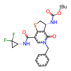 CC(C)(C)OC(=O)N[C@H]1CSc2c(C(=O)N[C@@H]3CC3(F)F)cn(Cc3ccccc3)c(=O)c21